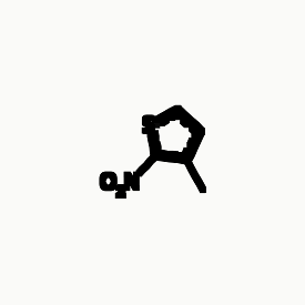 Cc1ccsc1[N+](=O)[O-]